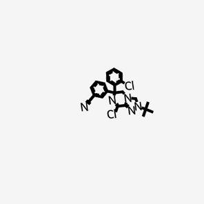 CC(C)(C)N1CN2CC(c3cccc(C#N)c3)(c3ccccc3Cl)N=C(Cl)C2=N1